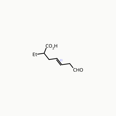 CCC(C/C=C/CC=O)C(=O)O